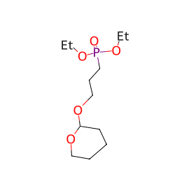 CCOP(=O)(CCCOC1CCCCO1)OCC